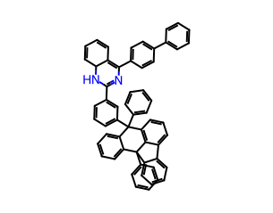 C1=CC2=C(c3ccc(-c4ccccc4)cc3)N=C(c3cccc(C4(c5ccccc5)c5ccccc5C5(c6ccccc6)c6ccccc6-c6cccc4c65)c3)NC2C=C1